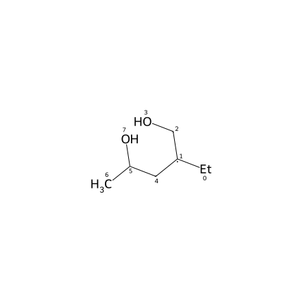 CC[C](CO)CC(C)O